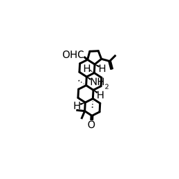 C=C(C)C1CCC2(C=O)CC[C@]3(N)[C@H](CC[C@@H]4[C@@]5(C)CCC(=O)C(C)(C)[C@@H]5CC[C@]43C)[C@@H]12